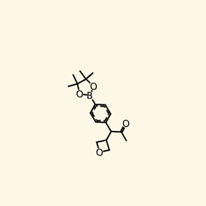 CC(=O)C(c1ccc(B2OC(C)(C)C(C)(C)O2)cc1)C1COC1